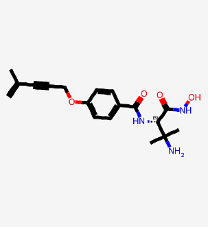 C=C(C)C#CCOc1ccc(C(=O)N[C@H](C(=O)NO)C(C)(C)N)cc1